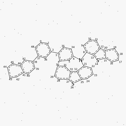 c1cc(-c2ccc(N(c3cccc4c3sc3ccccc34)c3cccc4sc5ccccc5c34)cc2)cc(-c2ccc3ccccc3c2)c1